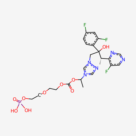 CC(OC(=O)OCCOCCOP(=O)(O)O)[n+]1cnn(CC(O)(c2ccc(F)cc2F)[C@@H](C)c2ncncc2F)c1